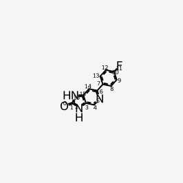 O=c1[nH]c2cnc(-c3ccc(F)cc3)cc2[nH]1